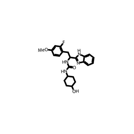 COc1ccc(CC(NC(=O)NC2CCC(O)CC2)c2nc3ccccc3[nH]2)c(F)c1